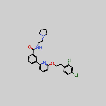 O=C(NCCN1CCCC1)c1cccc(-c2cccc(OCCc3ccc(Cl)cc3Cl)n2)c1